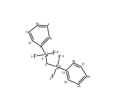 F[Si](F)(C[Si](F)(F)c1ccccc1)c1ccccc1